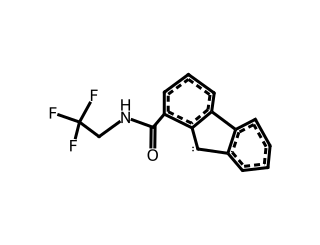 O=C(NCC(F)(F)F)c1cccc2c1[C]c1ccccc1-2